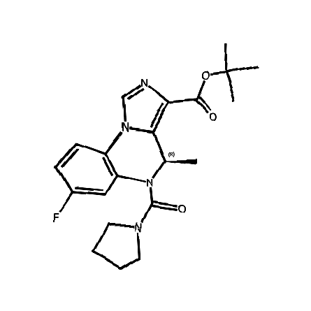 C[C@@H]1c2c(C(=O)OC(C)(C)C)ncn2-c2ccc(F)cc2N1C(=O)N1CCCC1